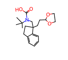 CC(C)(C)N(CC1(CCC2OCCO2)CCc2ccccc21)C(=O)O